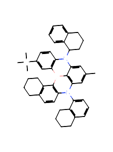 Cc1cc2c3c(c1)N(C1CCCc4ccccc41)c1ccc([Si](C)(C)C)cc1B3c1c(ccc3c1CCCC3)N2c1cccc2c1CCCC2